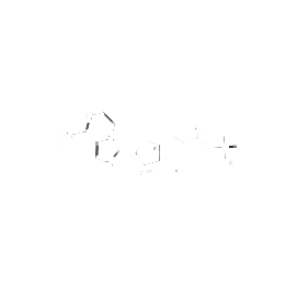 Nc1nccn2c([C@@H]3O[C@H](COP(=O)(O)CP(=O)(O)O)[C@@H](O)[C@H]3O)ncc12